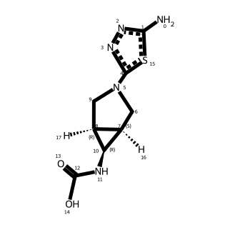 Nc1nnc(N2C[C@@H]3[C@H](C2)[C@@H]3NC(=O)O)s1